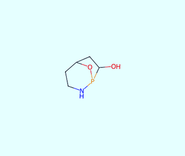 OC1CC2CCNP1O2